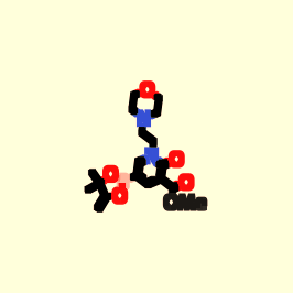 C=C1OB(c2cc(C(=O)OC)c(=O)n(CCN3CCOCC3)c2)OC1(C)C